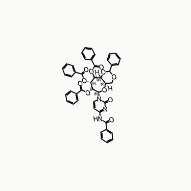 O=C(Nc1ccn([C@@H]2O[C@@H]3COC(c4ccccc4)O[C@H]3[C@H](OC(=O)c3ccccc3)[C@@H](OC(=O)c3ccccc3)[C@H]2OC(=O)c2ccccc2)c(=O)n1)c1ccccc1